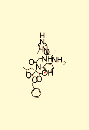 CC(C)C[C@](C(=O)O)(C(=O)OCc1ccccc1)N(C(=O)[C@H](Cc1c[nH]cn1)NC(=O)[C@H](C)N)c1ccccc1